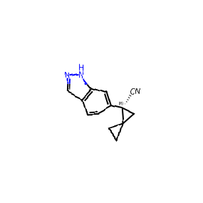 N#C[C@]1(c2ccc3cn[nH]c3c2)CC12CC2